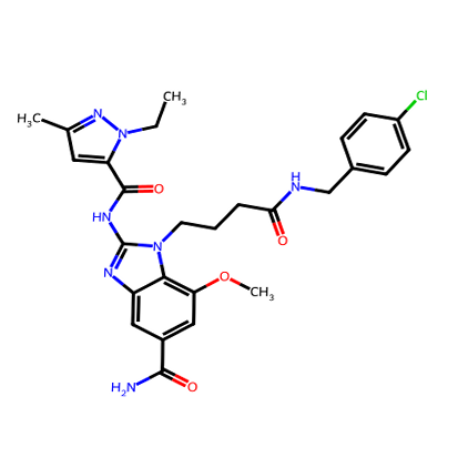 CCn1nc(C)cc1C(=O)Nc1nc2cc(C(N)=O)cc(OC)c2n1CCCC(=O)NCc1ccc(Cl)cc1